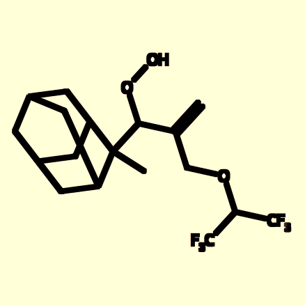 C=C(COC(C(F)(F)F)C(F)(F)F)C(OO)C1(C)C2CC3CC(C2)CC1C3